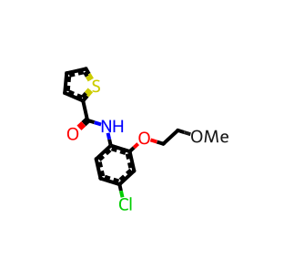 COCCOc1cc(Cl)ccc1NC(=O)c1cccs1